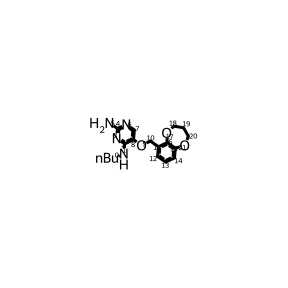 CCCCNc1nc(N)ncc1OCc1cccc2c1OCCCO2